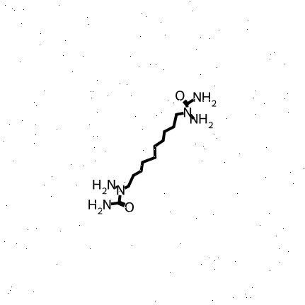 NC(=O)N(N)CCCCCCCCCCN(N)C(N)=O